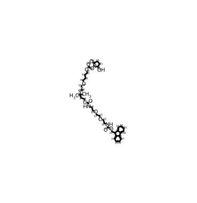 CC(C)(CCOC(=O)NCCOCCOCCNC(=O)OCC1c2ccccc2-c2ccccc21)SSCOCCCCOC(=O)ON1C(=O)CCC1O